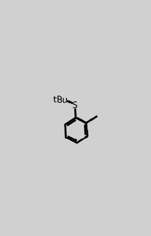 Cc1ccccc1SC(C)(C)C